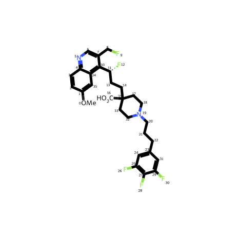 COc1ccc2ncc(CF)c([C@H](F)CCC3(C(=O)O)CCN(CCCc4cc(F)c(F)c(F)c4)CC3)c2c1